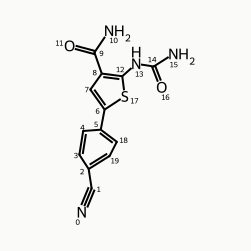 N#Cc1ccc(-c2cc(C(N)=O)c(NC(N)=O)s2)cc1